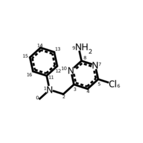 CN(Cc1cc(Cl)nc(N)n1)c1ccccc1